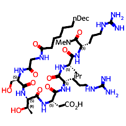 CCCCCCCCCCCCCCCC(=O)NCC(=O)N[C@@H](CO)C(=O)N[C@H](C(=O)N[C@@H](CC(=O)O)C(=O)N[C@@H](CCCNC(=N)N)C(=O)N[C@@H](CC(C)C)C(=O)N[C@@H](CCCNC(=N)N)C(=O)NC)[C@@H](C)O